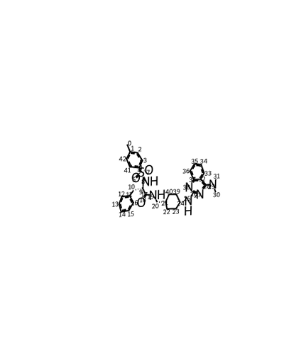 Cc1ccc(S(=O)(=O)N[C@@H](Cc2ccccc2)C(=O)NC[C@H]2CC[C@@H](Nc3nc(N(C)C)c4ccccc4n3)CC2)cc1